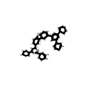 c1ccc(-c2cc(-c3ccccc3)cc(-c3ccc4oc5ccc(-c6cc(-c7ccccc7)nc(-c7ccccc7)n6)cc5c4c3)c2)cc1